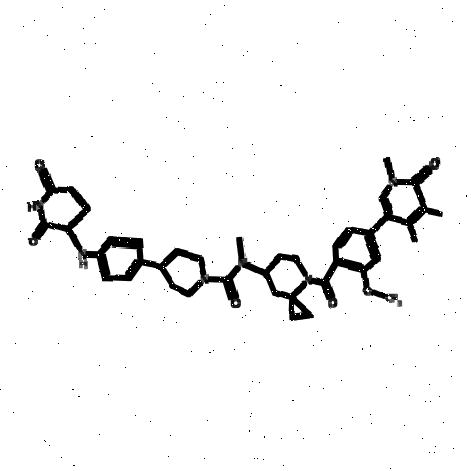 Cc1c(-c2ccc(C(=O)N3CCC(N(C)C(=O)N4CCC(c5ccc(NC6CCC(=O)NC6=O)cc5)CC4)CC34CC4)c(OC(F)(F)F)c2)cn(C)c(=O)c1C